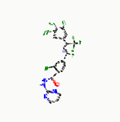 CN(NC(=O)c1ccc(/C(F)=C/C(c2cc(Cl)c(Cl)c(Cl)c2)C(F)(F)F)cc1Br)c1ncccn1